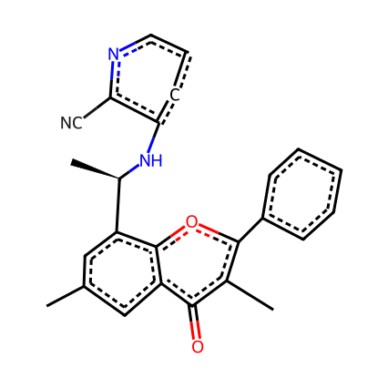 Cc1cc([C@@H](C)Nc2cccnc2C#N)c2oc(-c3ccccc3)c(C)c(=O)c2c1